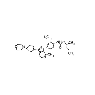 CCC[C@H](C)OC(=O)Nc1ccc(-c2nc(N3CCC(N4CCOCC4)CC3)n3ccnc(C)c23)cc1OC